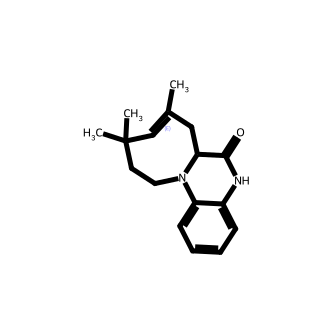 C/C1=C\C(C)(C)CCN2c3ccccc3NC(=O)C2C1